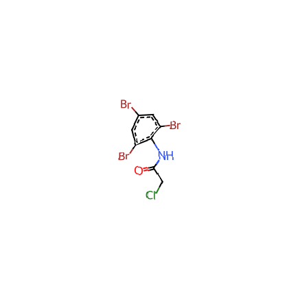 O=C(CCl)Nc1c(Br)cc(Br)cc1Br